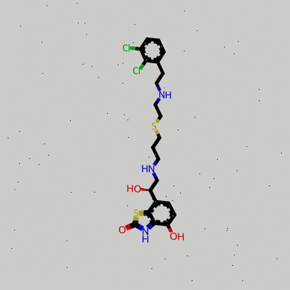 O=c1[nH]c2c(O)ccc([C@@H](O)CNCCCSCCNCCc3cccc(Cl)c3Cl)c2s1